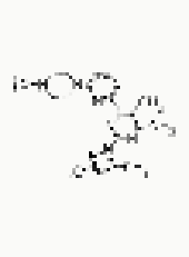 Cc1cc(C)n(-c2nc(N)c(C)c(-c3cccc(N4CCN(C5CC5)CC4)n3)n2)n1